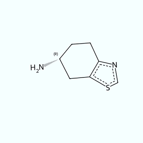 N[C@@H]1CCc2ncsc2C1